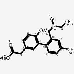 COC(=O)Cc1ccc(OC)c(-c2ccc(C(F)(F)F)cc2CN(CC(F)(F)F)C(C)=O)c1